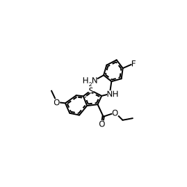 CCOC(=O)c1c(Nc2cc(F)ccc2N)sc2cc(OC)ccc12